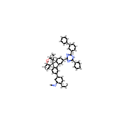 C=Nc1cc(-c2ccc3c(c2)-c2cc(-c4nc(-c5ccccc5)nc(-c5cccc(-c6ccccc6)c5)n4)ccc2C32c3ccccc3Oc3ccccc32)ccc1/C=C\C